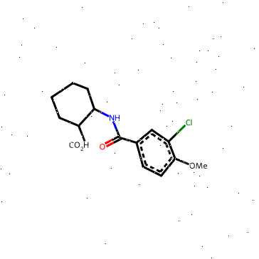 COc1ccc(C(=O)NC2CCCCC2C(=O)O)cc1Cl